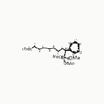 CCCCCCCCCCCCCCCCCC(c1ccccc1)[Si](OC)(OC)OC